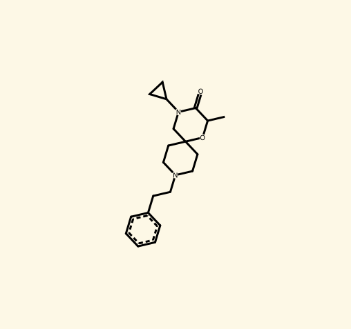 CC1OC2(CCN(CCc3ccccc3)CC2)CN(C2CC2)C1=O